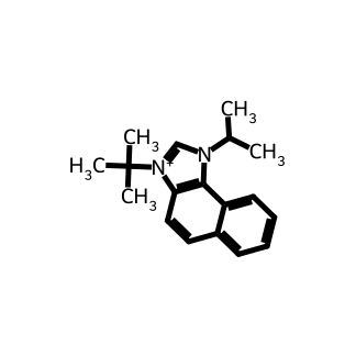 CC(C)n1c[n+](C(C)(C)C)c2ccc3ccccc3c21